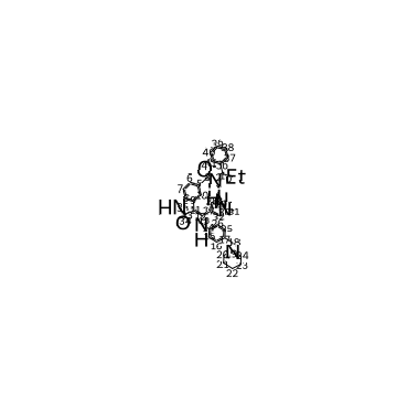 CC[C@@H](NC(=O)c1ccc2c(c1)/C(=C(/Nc1ccc(CN3CCCCC3)cc1)c1cnn(C)c1)C(=O)N2)c1ccccc1